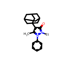 CCn1c(=O)c(C23CC4CC(CC(C4)C2)C3)c(C)n1-c1ccccc1